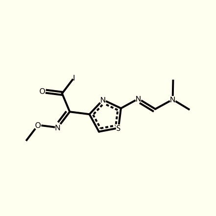 CON=C(C(=O)I)c1csc(N=CN(C)C)n1